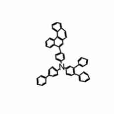 c1ccc(-c2ccc(N(c3ccc(-c4cc5ccc6ccccc6c5c5ccccc45)cc3)c3ccc(-c4ccccc4)c(-c4ccccc4)c3)cc2)cc1